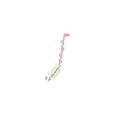 OCCOCCOCCOCCOCCC(F)(F)C(F)(F)C(F)(F)C(F)(F)C(F)(F)C(F)(F)F